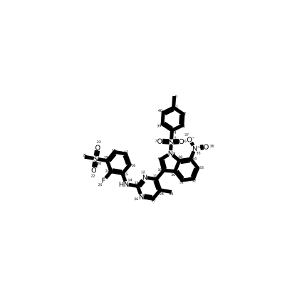 Cc1ccc(S(=O)(=O)n2cc(-c3nc(Nc4cccc(S(C)(=O)=O)c4F)ncc3C)c3cccc([N+](=O)[O-])c32)cc1